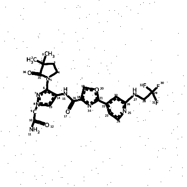 CC1(C)CCN(c2nn(CC(N)=O)cc2NC(=O)c2coc(-c3ccnc(NCC(F)(F)F)c3)n2)C1=O